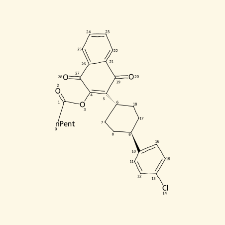 CCCCCC(=O)OC1=C([C@H]2CC[C@H](c3ccc(Cl)cc3)CC2)C(=O)c2ccccc2C1=O